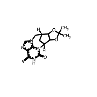 CC1(C)OC2C(O1)[C@H]1C[C@@H]2Cn2cnc3c(=S)[nH]c(=O)n1c32